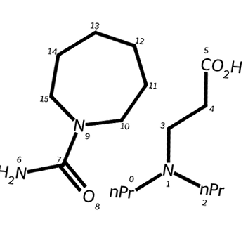 CCCN(CCC)CCC(=O)O.NC(=O)N1CCCCCC1